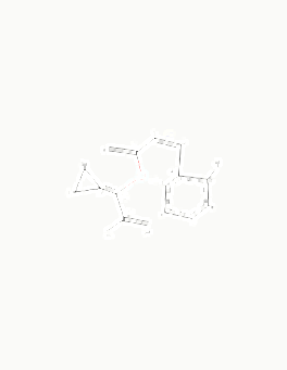 C=C(/C=C\c1ccccc1C)OC(C(=C)C)=C1CC1